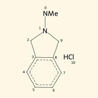 CNN1Cc2ccccc2C1.Cl